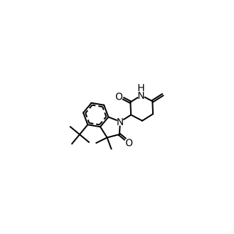 C=C1CCC(N2C(=O)C(C)(C)c3c2cccc3C(C)(C)C)C(=O)N1